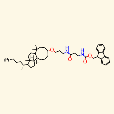 CC(C)CCC[C@@H](C)C1CC[C@H]2[C@@H]3CCC[C@@H](OCCCNC(=O)CCNC(=O)OCC4c5ccccc5-c5ccccc54)CCC(C)(C)C3CCC12C